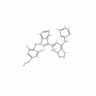 CCOc1cc(F)c(Cn2nc(C3=NC(Nc4ccnnc4)=C4CCCC4N3)c3ccccc32)c(F)c1